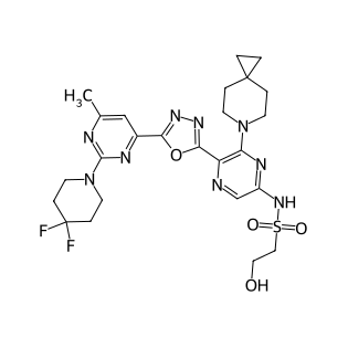 Cc1cc(-c2nnc(-c3ncc(NS(=O)(=O)CCO)nc3N3CCC4(CC3)CC4)o2)nc(N2CCC(F)(F)CC2)n1